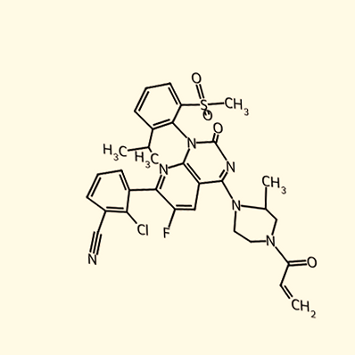 C=CC(=O)N1CCN(c2nc(=O)n(-c3c(C(C)C)cccc3S(C)(=O)=O)c3nc(-c4cccc(C#N)c4Cl)c(F)cc23)C(C)C1